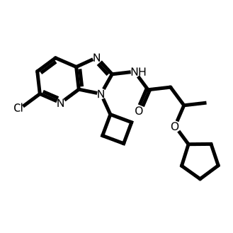 CC(CC(=O)Nc1nc2ccc(Cl)nc2n1C1CCC1)OC1CCCC1